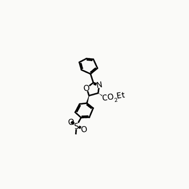 CCOC(=O)[C@H]1N=C(c2ccccc2)O[C@@H]1c1ccc(S(C)(=O)=O)cc1